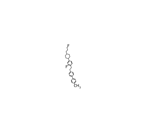 Cc1ccc(-c2ccc(CCc3ccc(C4CCC(CCCF)CC4)cc3F)cc2)cc1